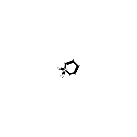 S=S1(=S)C=CC=CC1